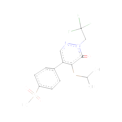 CC(C)Sc1c(-c2ccc(S(C)(=O)=O)cc2)cnn(CC(F)(F)F)c1=O